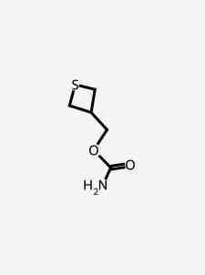 NC(=O)OCC1CSC1